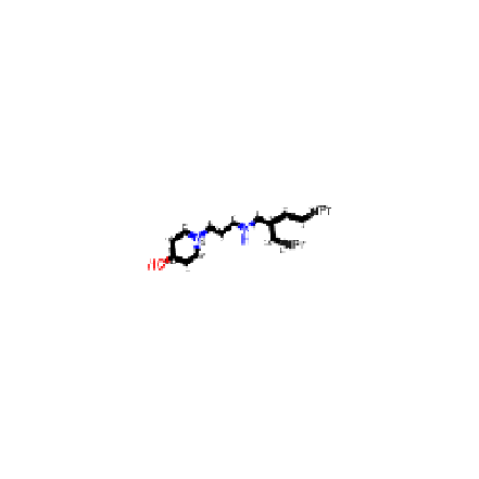 CC(C)CCC(CNCCCN1CCC(O)CC1)CC(C)C